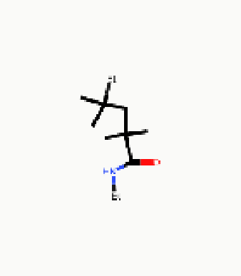 CCNC(=O)C(C)(C)CC(C)(C)CC